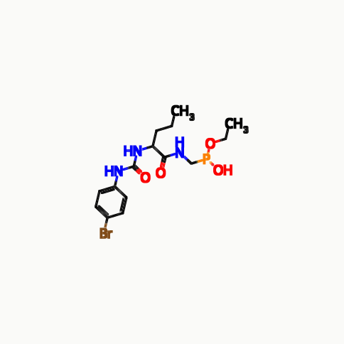 CCCC(NC(=O)Nc1ccc(Br)cc1)C(=O)NCP(O)OCC